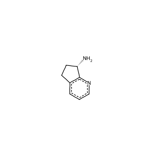 N[C@H]1CCc2cccnc21